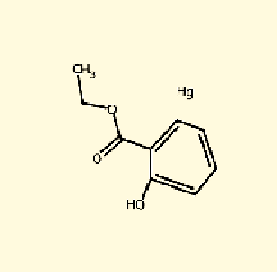 CCOC(=O)c1ccccc1O.[Hg]